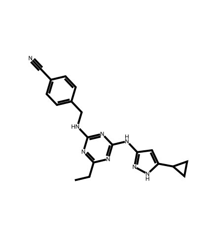 CCc1nc(NCc2ccc(C#N)cc2)nc(Nc2cc(C3CC3)[nH]n2)n1